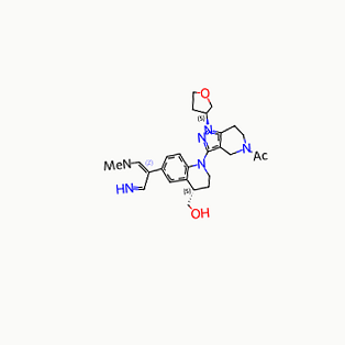 CN/C=C(\C=N)c1ccc2c(c1)[C@@H](CO)CCN2c1nn([C@H]2CCOC2)c2c1CN(C(C)=O)CC2